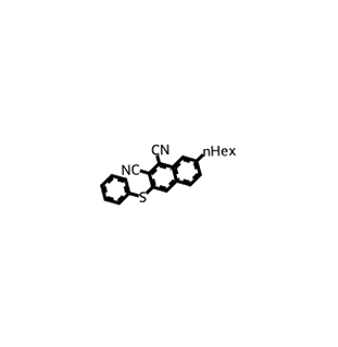 CCCCCCc1ccc2cc(Sc3ccccc3)c(C#N)c(C#N)c2c1